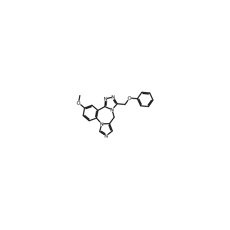 COc1ccc2c(c1)-c1nnc(COc3ccccc3)n1Cc1cncn1-2